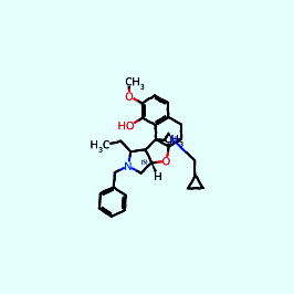 CCC1C2[C@@H](CN1Cc1ccccc1)OC1(C)C3Cc4ccc(OC)c(O)c4C21CCN3CC1CC1